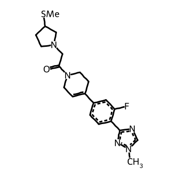 CSC1CCN(CC(=O)N2CC=C(c3ccc(-c4ncn(C)n4)c(F)c3)CC2)C1